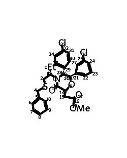 CC[C@@H](CSCc1ccccc1)N1C(=O)C(CC(=O)OC)O[C@H](c2cccc(Cl)c2)[C@H]1c1ccc(Cl)cc1